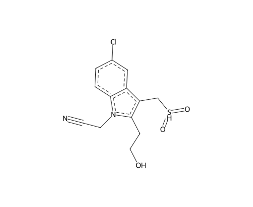 N#CCn1c(CCO)c(C[SH](=O)=O)c2cc(Cl)ccc21